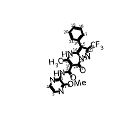 COc1nccnc1NC(=O)c1c(C)[nH]c2c(-c3ccccc3)c(C(F)(F)F)nn2c1=O